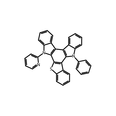 c1ccc(-n2c3ccccc3c3c4c5ccccc5n(-c5ccccn5)c4c4sc5ccccc5c4c32)cc1